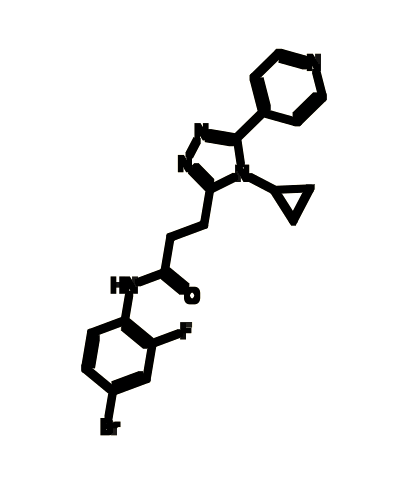 O=C(CCc1nnc(-c2ccncc2)n1C1CC1)Nc1ccc(Br)cc1F